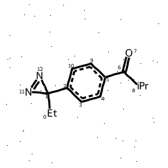 CCC1(c2ccc(C(=O)C(C)C)cc2)N=N1